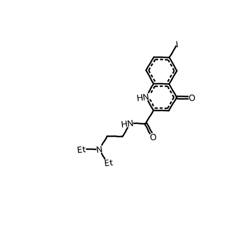 CCN(CC)CCNC(=O)c1cc(=O)c2cc(I)ccc2[nH]1